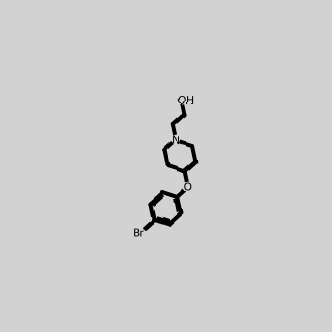 OCCN1CCC(Oc2ccc(Br)cc2)CC1